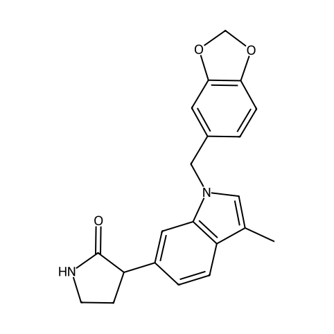 Cc1cn(Cc2ccc3c(c2)OCO3)c2cc(C3CCNC3=O)ccc12